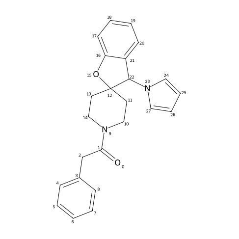 O=C(Cc1ccccc1)N1CCC2(CC1)Oc1ccccc1C2n1cccc1